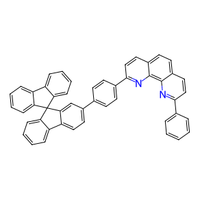 c1ccc(-c2ccc3ccc4ccc(-c5ccc(-c6ccc7c(c6)C6(c8ccccc8-c8ccccc86)c6ccccc6-7)cc5)nc4c3n2)cc1